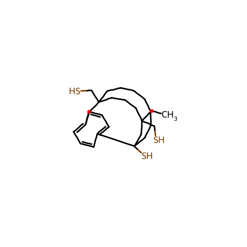 CCC1(CS)CCCC2(CS)CCCCCCCC(S)(C1)C1=C\C=C/C(=C/C=C\1)C2